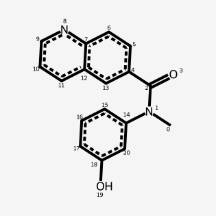 CN(C(=O)c1ccc2ncccc2c1)c1cccc(O)c1